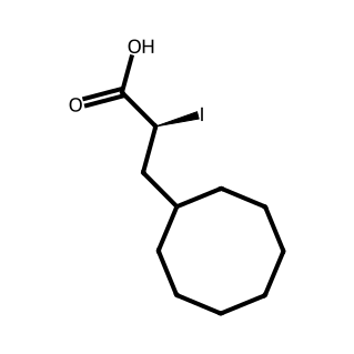 O=C(O)[C@@H](I)CC1CCCCCCC1